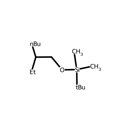 CCCCC(CC)CO[Si](C)(C)C(C)(C)C